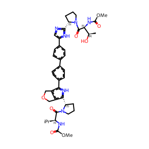 COC(=O)N[C@H](C(=O)N1CCC[C@H]1c1[nH]c(-c2ccc(-c3ccc(-c4cnc([C@@H]5CCCN5C(=O)[C@@H](NC(=O)OC)[C@@H](C)O)[nH]4)cc3)cc2)c2c1COC2)C(C)C